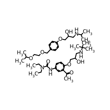 CC(C)NCC(O)COc1ccc(COCCOC(C)C)cc1.CCN(CC)C(=O)Nc1ccc(OCC(O)CNC(C)(C)C)c(C(C)=O)c1